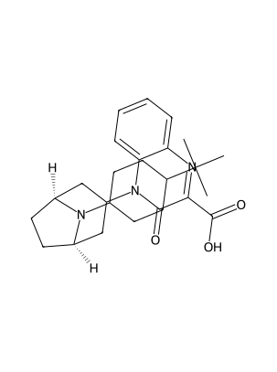 CC(C)(C)C1CCC(N2[C@@H]3CC[C@H]2CC(n2c(=O)c(C(=O)O)nc4ccccc42)C3)CC1